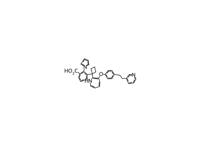 O=C(O)c1cccc(C2(C3=C(Oc4ccc(CCc5cccnc5)cc4)C=CC=CN3)CCC2)c1-n1cccc1